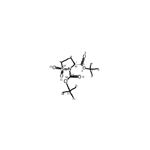 CC(C)(C)OC(=O)[C@H]1CCS(=O)(=O)N1C(=O)OC(C)(C)C